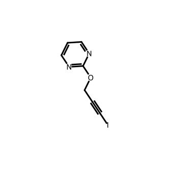 IC#CCOc1ncccn1